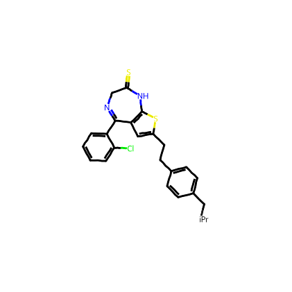 CC(C)Cc1ccc(CCc2cc3c(s2)NC(=S)CN=C3c2ccccc2Cl)cc1